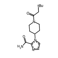 CC(C)(C)CC(=O)N1CCC(n2c[c]nc2C(N)=O)CC1